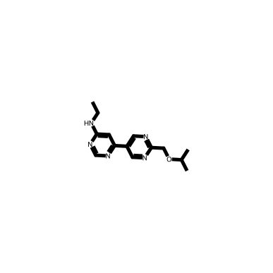 CCNc1cc(-c2cnc(COC(C)C)nc2)ncn1